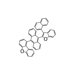 c1ccc2c(-c3c(-c4c5ccccc5c(-c5cccc6oc7ccccc7c56)c5ccccc45)oc4ccccc34)cccc2c1